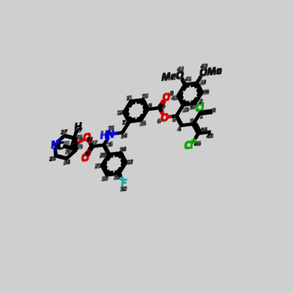 C=C(Cl)/C(CC(OC(=O)c1cccc(CNC(C(=O)O[C@H]2CN3CCC2CC3)c2ccc(F)cc2)c1)c1ccc(OC)c(OC)c1)=C(\C)Cl